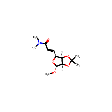 CO[C@@H]1O[C@@H](/C=C/C(=O)N(C)C)[C@H]2OC(C)(C)O[C@@H]12